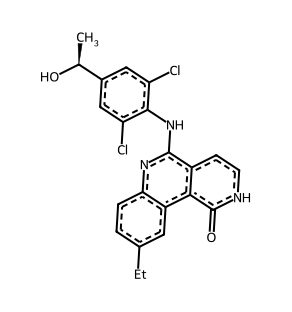 CCc1ccc2nc(Nc3c(Cl)cc([C@H](C)O)cc3Cl)c3cc[nH]c(=O)c3c2c1